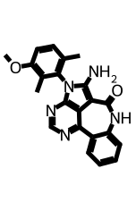 COc1ccc(C)c(-n2c(N)c3c4c(ncnc42)-c2ccccc2NC3=O)c1C